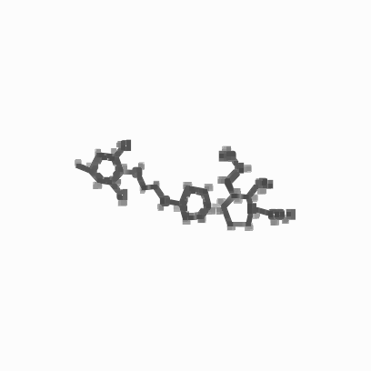 Cc1cc(Cl)c(OCCOc2ccc([C@H]3CCN(C(=O)O)C(C(C)(C)C)[C@@H]3C=NO)cc2)c(Cl)c1